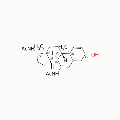 CC(=O)NC1=CC2C[C@@H](O)C=C[C@]2(C)[C@H]2CC[C@]3(C)[C@@H](NC(C)=O)CC[C@H]3[C@H]12